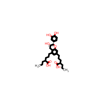 CCCC(CCCc1cc(CCCC(CCC)C(=O)O)c2c(c1)O[C@@H](c1ccc(O)c(O)c1)[C@@H](O)C2)C(=O)O